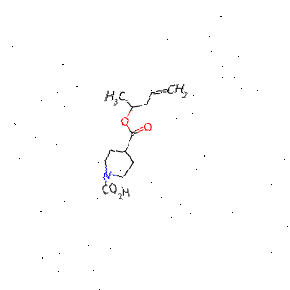 C=CCC(C)OC(=O)C1CCN(C(=O)O)CC1